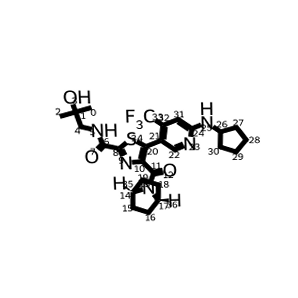 CC(C)(O)CNC(=O)c1nc(C(=O)N2[C@H]3CC[C@H]2CC3)c(-c2cnc(NC3CCCC3)cc2C(F)(F)F)s1